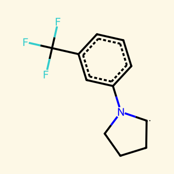 FC(F)(F)c1cccc(N2[CH]CCC2)c1